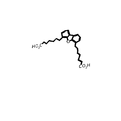 O=C(O)CCCCCCc1cccc2c1oc1c(CCCCCCC(=O)O)cccc12